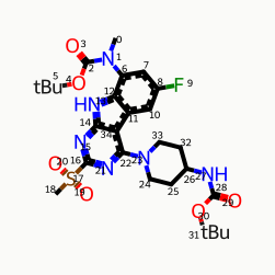 CN(C(=O)OC(C)(C)C)c1cc(F)cc2c1[nH]c1nc(S(C)(=O)=O)nc(N3CCC(NC(=O)OC(C)(C)C)CC3)c12